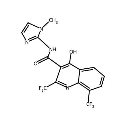 Cn1ccnc1NC(=O)c1c(C(F)(F)F)nc2c(C(F)(F)F)cccc2c1O